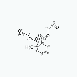 CC1(C(=O)OCC2CO2)CC=CCC1C(=O)OCC1CO1